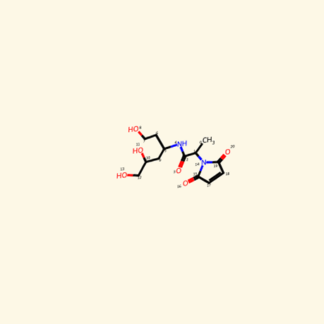 CC(C(=O)NC(CCO)CC(O)CO)N1C(=O)C=CC1=O